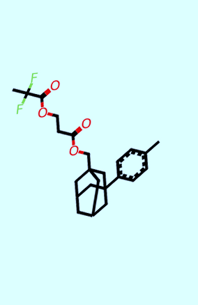 Cc1ccc(C23CC4CC(CC(COC(=O)CCOC(=O)C(C)(F)F)(C4)C2)C3)cc1